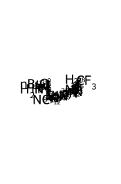 C=CCC(CCn1c(C#N)cc2c(C)c(CN3CCC(Nc4ncnc5sc(CC(F)(F)F)cc45)CC3)ccc21)NC(=O)C(N)CCCC